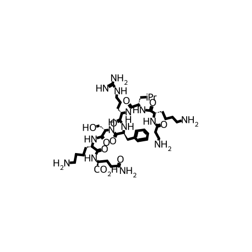 CC(C)C[C@H](NC(=O)[C@H](CCCCN)NC(=O)CCN)C(=O)N[C@@H](CCCNC(=N)N)C(=O)N[C@@H](Cc1ccccc1)C(=O)N[C@@H](CO)C(=O)N[C@@H](CCCCN)C(=O)N[C@@H](CCC(N)=O)C(=O)O